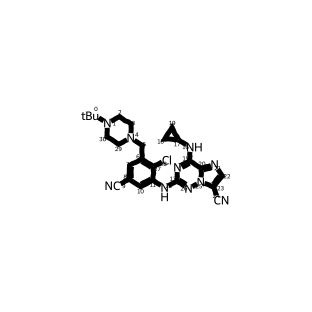 CC(C)(C)N1CCN(Cc2cc(C#N)cc(Nc3nc(NC4CC4)c4ncc(C#N)n4n3)c2Cl)CC1